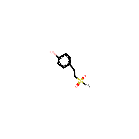 Bc1ccc(CCS(C)(=O)=O)cc1